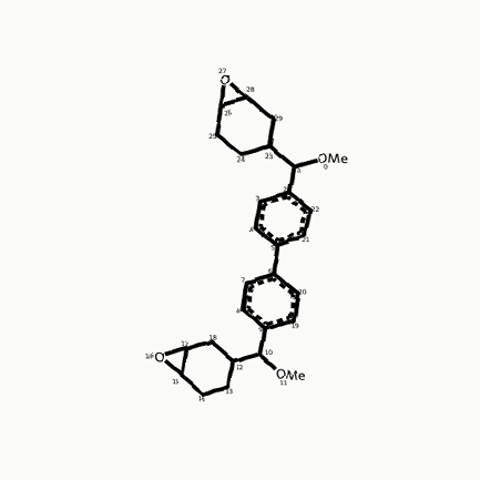 COC(c1ccc(-c2ccc(C(OC)C3CCC4OC4C3)cc2)cc1)C1CCC2OC2C1